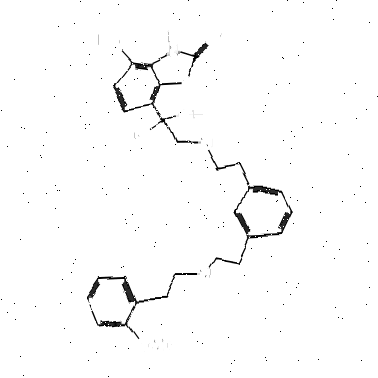 COc1ccccc1CCNCCc1cccc(CCNCC(O)(O)c2ccc(O)c3[nH]c(=O)sc23)c1